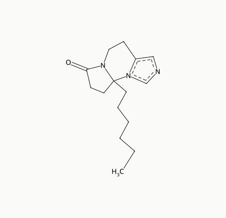 CCCCCCC12CCC(=O)N1CCc1cncn12